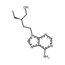 CC[C@@H](CO)CCn1cnc2c(N)ncnc21